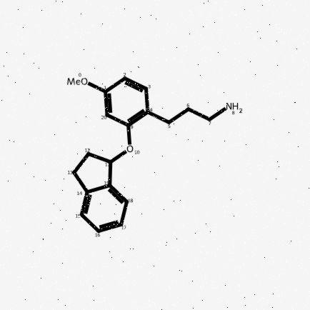 COc1ccc(CCCN)c(OC2CCc3ccccc32)c1